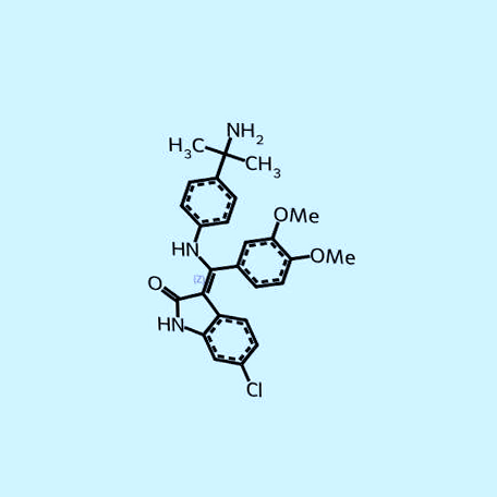 COc1ccc(/C(Nc2ccc(C(C)(C)N)cc2)=C2/C(=O)Nc3cc(Cl)ccc32)cc1OC